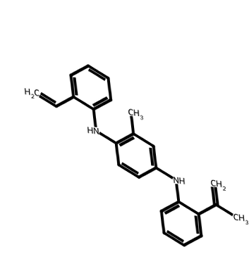 C=Cc1ccccc1Nc1ccc(Nc2ccccc2C(=C)C)cc1C